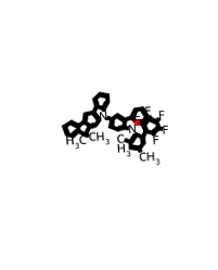 Cc1cc(C)c(-n2c3ccccc3c3cc(-n4c5ccccc5c5cc6c(cc54)C(C)(C)c4ccccc4-6)ccc32)c(-c2c(F)c(F)c(F)c(F)c2F)c1